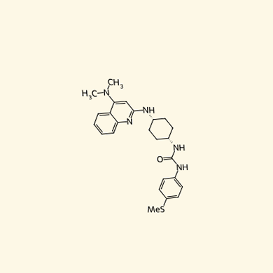 CSc1ccc(NC(=O)N[C@H]2CC[C@@H](Nc3cc(N(C)C)c4ccccc4n3)CC2)cc1